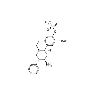 COc1cc2c(cc1OS(C)(=O)=O)CCN1C[C@@H](c3ccccc3)[C@H](N)C[C@H]21